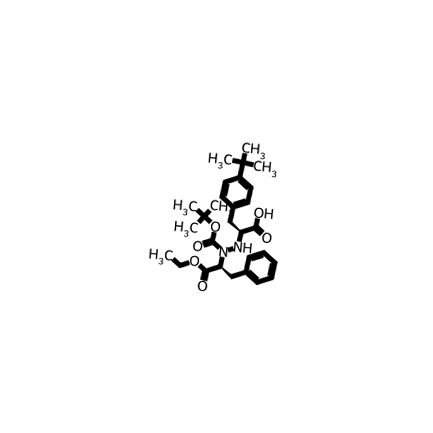 CCOC(=O)[C@H](Cc1ccccc1)N(N[C@@H](Cc1ccc(C(C)(C)C)cc1)C(=O)O)C(=O)OC(C)(C)C